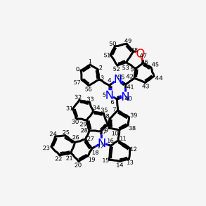 c1ccc(-c2nc(-c3ccc(-c4ccccc4-n4c5ccc6ccccc6c5c5c6ccccc6ccc54)cc3)nc(-c3cccc4oc5ccccc5c34)n2)cc1